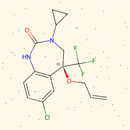 C=CCO[C@]1(C(F)(F)F)CN(C2CC2)C(=O)Nc2ccc(Cl)cc21